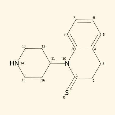 S=C1CCc2ccccc2N1C1CCNCC1